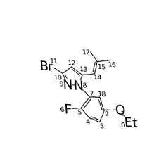 CCOc1ccc(F)c(-n2nc(Br)cc2C=C(C)C)c1